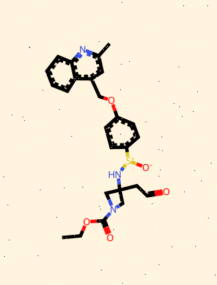 CCOC(=O)N1CC(CC=O)(N[S+]([O-])c2ccc(OCc3cc(C)nc4ccccc34)cc2)C1